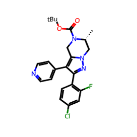 C[C@@H]1Cn2nc(-c3ccc(Cl)cc3F)c(-c3ccncc3)c2CN1C(=O)OC(C)(C)C